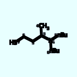 CCCCN(CCCC)C(C)CCS